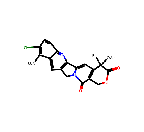 CCC1(OC(C)=O)C(=O)OCc2c1cc1n(c2=O)Cc2cc3c([N+](=O)[O-])c(Cl)ccc3nc2-1